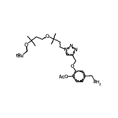 BCc1ccc(OC(C)=O)c(OCc2cn(CCC(C)(C)OCCC(C)(C)OCC(C)(C)C)nn2)c1